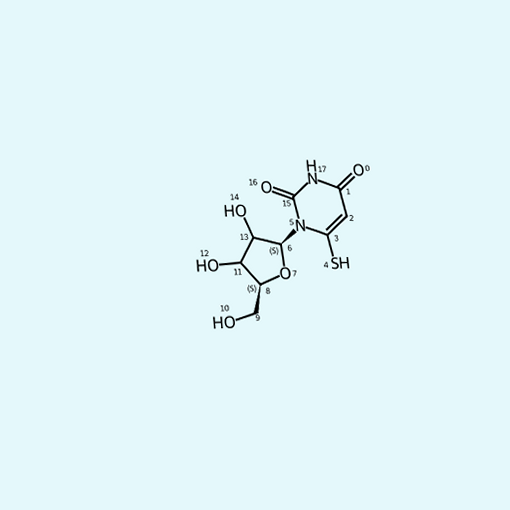 O=c1cc(S)n([C@H]2O[C@@H](CO)C(O)C2O)c(=O)[nH]1